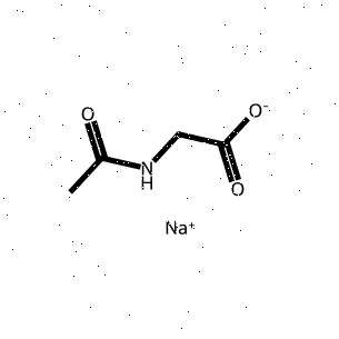 CC(=O)NCC(=O)[O-].[Na+]